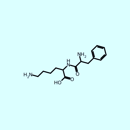 NCCCCC(NC(=O)C(N)Cc1ccccc1)C(=O)O